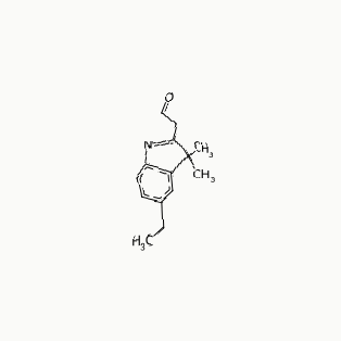 CCc1ccc2c(c1)C(C)(C)C(CC=O)=N2